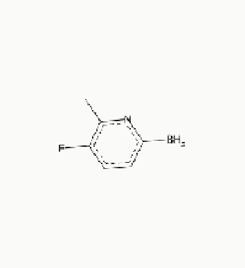 Bc1ccc(F)c(C)n1